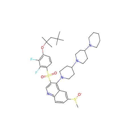 C[S+]([O-])c1ccc2ncc(S(=O)(=O)c3ccc(OC(C)(C)CC(C)(C)C)c(F)c3F)c(N3CCC(N4CCC(N5CCCCC5)CC4)CC3)c2c1